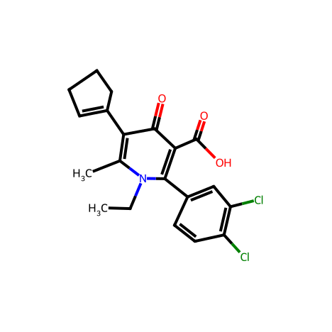 CCn1c(C)c(C2=CCCC2)c(=O)c(C(=O)O)c1-c1ccc(Cl)c(Cl)c1